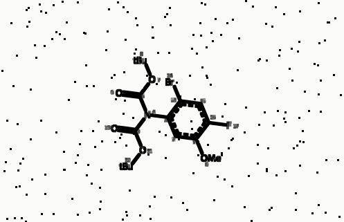 COc1cc(N(C(=O)OC(C)(C)C)C(=O)OC(C)(C)C)c(Br)cc1F